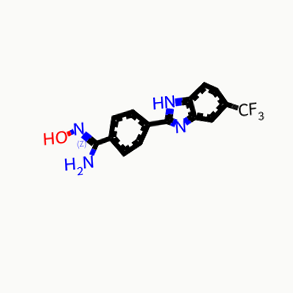 N/C(=N\O)c1ccc(-c2nc3cc(C(F)(F)F)ccc3[nH]2)cc1